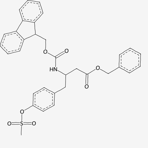 CS(=O)(=O)Oc1ccc(CC(CC(=O)OCc2ccccc2)NC(=O)OCC2c3ccccc3-c3ccccc32)cc1